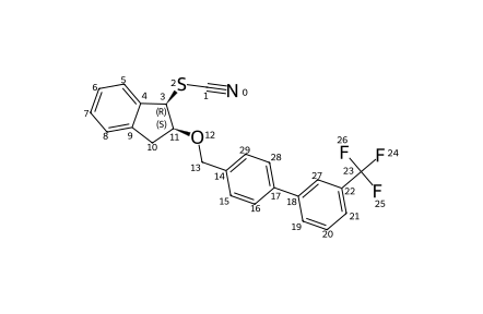 N#CS[C@@H]1c2ccccc2C[C@@H]1OCc1ccc(-c2cccc(C(F)(F)F)c2)cc1